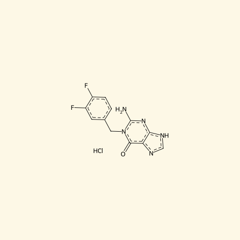 Cl.Nc1nc2[nH]cnc2c(=O)n1Cc1ccc(F)c(F)c1